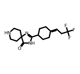 O=C1NC(C2CCC(=CCC(F)(F)F)CC2)=NC12CCNCC2